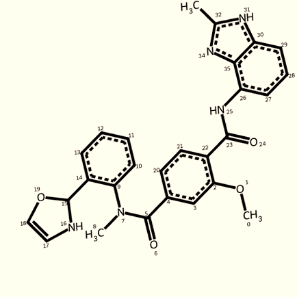 COc1cc(C(=O)N(C)c2ccccc2C2NC=CO2)ccc1C(=O)Nc1cccc2[nH]c(C)nc12